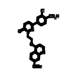 COc1ccc2c(OCCn3nc(-c4ccc(C(=O)O)c(Cl)c4)ccc3=O)ccnc2c1